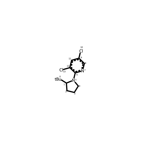 CC(C)(C)C1CCCN1c1ncc(Cl)cc1Cl